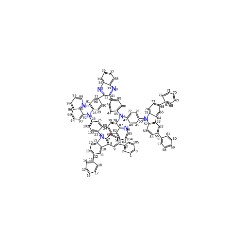 c1ccc(-c2ccc3c(c2)c2cc(-c4ccccc4)ccc2n3-c2ccc(N(c3ccc(-c4nc5ccccc5nc4-c4ccc(N(c5ccc(-n6c7ccc(-c8ccccc8)cc7c7cc(-c8ccccc8)ccc76)cc5)c5cccc6cccnc56)cc4)cc3)c3cccc4cccnc34)cc2)cc1